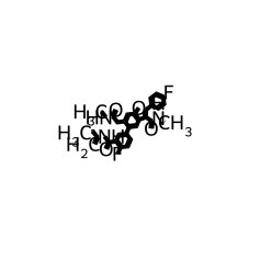 C=C(CC)NC(=O)c1cc(-c2cc3c(C(=O)NC)c(-c4ccc(F)cc4)oc3cc2CC(=O)NC)ccc1F